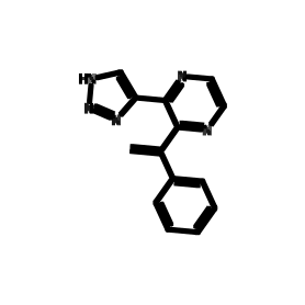 C=C(c1ccccc1)c1nccnc1-c1c[nH]nn1